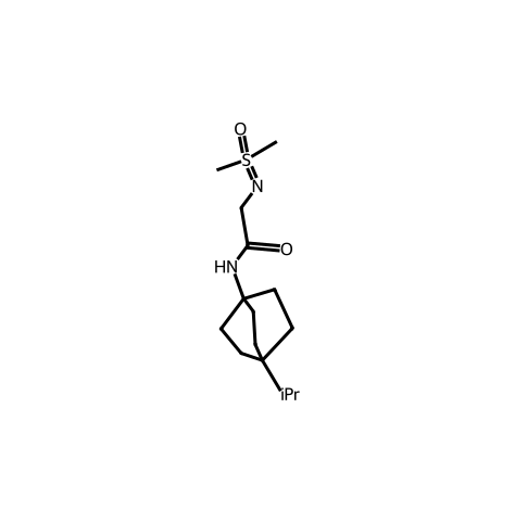 CC(C)C12CCC(NC(=O)CN=S(C)(C)=O)(CC1)CC2